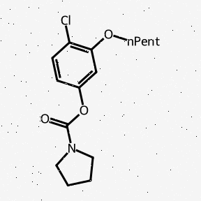 CCCCCOc1cc(OC(=O)N2CCCC2)ccc1Cl